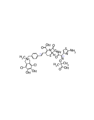 CC(C)(O/N=C(\C(=O)N[C@@H]1C(=O)N2C(C(=O)O)=C(/C=C/c3ccc(C[N+]4(C)Cc5c(Cl)c(O)c(O)c(Cl)c5C4)cc3)CS[C@H]12)c1csc(N)n1)C(=O)O